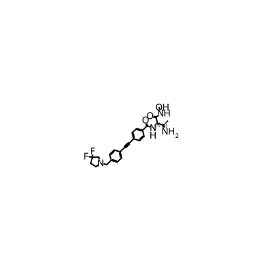 C[C@@H](N)[C@H](NC(=O)c1ccc(C#Cc2ccc(CN3CCC(F)(F)C3)cc2)cc1)C(=O)NO